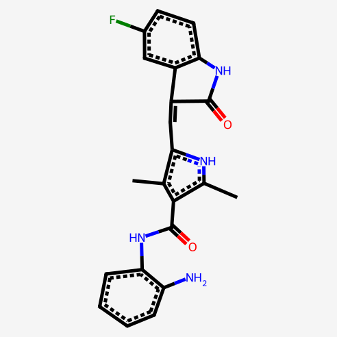 Cc1[nH]c(C=C2C(=O)Nc3ccc(F)cc32)c(C)c1C(=O)Nc1ccccc1N